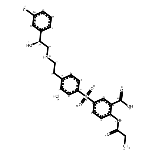 CCC(=O)Nc1ccc(S(=O)(=O)c2ccc(CCNC[C@@H](O)c3cccc(Cl)c3)cc2)cc1C(=O)O.Cl